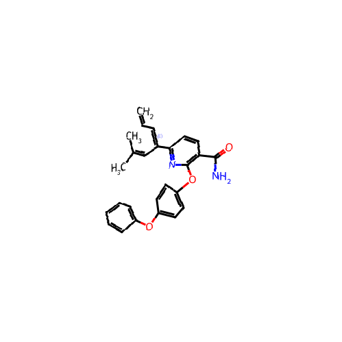 C=C/C=C(\C=C(C)C)c1ccc(C(N)=O)c(Oc2ccc(Oc3ccccc3)cc2)n1